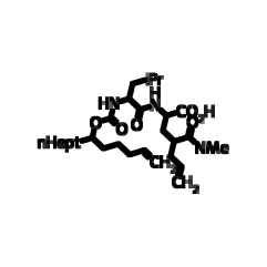 C=CCCCC(CCCCCCC)OC(=O)NC(CC(C)C)C(=O)NC(CC(CC=C)C(=O)NC)C(=O)O